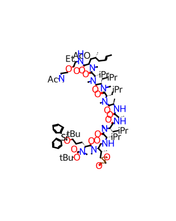 C/C=C/C[C@@H](C)[C@@H](OC(C)=O)[C@@H](C(=O)N[C@@H](CC)C(=O)OCCN(C)C(C)=O)N(C)C(=O)[C@H](C(C)C)N(C)C(=O)[C@H](CC(C)C)N(C)C(=O)[C@H](CC(C)C)N(C)C(=O)[C@@H](C)NC(=O)[C@H](C)NC(=O)[C@H](CC(C)C)N(C)C(=O)[C@@H](NC(=O)[C@H]([C@H](C)CS(C)(=O)=O)N(C)C(=O)[C@@H](CCCO[Si](c1ccccc1)(c1ccccc1)C(C)(C)C)N(C)C(=O)OC(C)(C)C)C(C)C